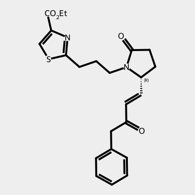 CCOC(=O)c1csc(CCCN2C(=O)CC[C@@H]2C=CC(=O)Cc2ccccc2)n1